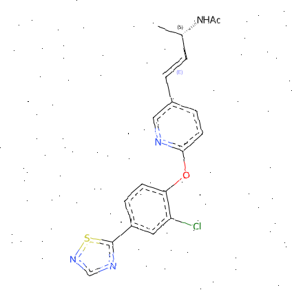 CC(=O)N[C@@H](C)/C=C/c1ccc(Oc2ccc(-c3ncns3)cc2Cl)nc1